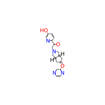 O=C(CN1C[C@H]2C[C@H](Oc3cnccn3)C[C@H]2C1)c1ccc(O)cn1